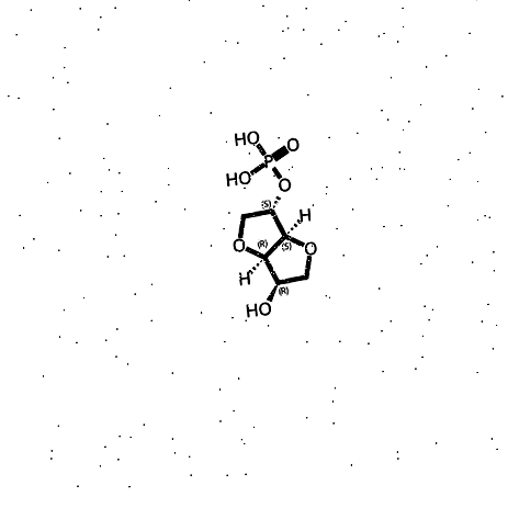 O=P(O)(O)O[C@H]1CO[C@H]2[C@@H]1OC[C@H]2O